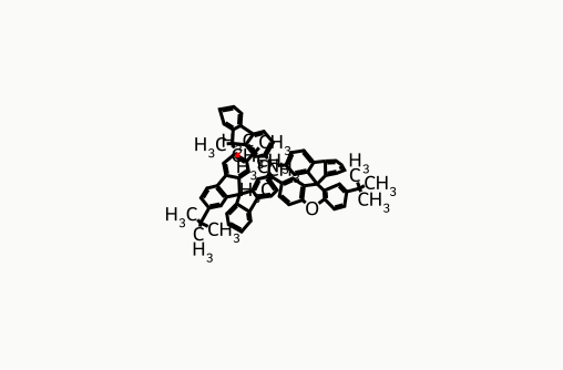 CC(C)(C)c1ccc2c(c1)C1(c3cc(C(C)(C)C)ccc3O2)c2ccccc2-c2ccc(N(c3ccc4c(c3)C(C)(C)c3ccccc3-4)c3ccc4c(c3)C3(c5ccccc5-4)c4cc(C(C)(C)C)ccc4-c4ccc(C(C)(C)C)cc43)cc21